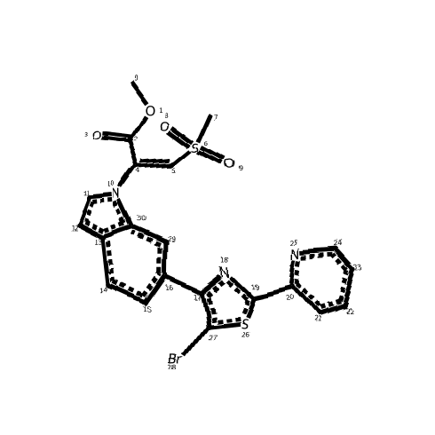 COC(=O)C(=CS(C)(=O)=O)n1ccc2ccc(-c3nc(-c4ccccn4)sc3Br)cc21